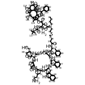 CCCCN(CCSSCCC(=O)N[C@H](Cc1ccccc1)C(=O)N[C@H]1CSSC[C@@H](C(=O)N[C@H](CO)[C@@H](C)O)NC(=O)[C@H]([C@@H](C)O)NC(=O)[C@H](CCCCN)NC(=O)[C@@H](Cc2c[nH]c3ccccc23)NC(=O)[C@H](Cc2ccccc2)NC1=O)C(=O)OC(C(=O)OC1C[C@@]2(O)[C@@H](OC(=O)c3ccccc3)[C@@H]3[C@]4(O)CO[C@@H]4C[C@H](OC)[C@@]3(C)C(=O)[C@H](OC)C(=C1C)C2(C)C)[C@H](P)NC(=O)OC(C)(C)C